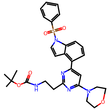 CC(C)(C)OC(=O)NCCc1nc(-c2cccc3c2ccn3S(=O)(=O)c2ccccc2)cc(N2CCOCC2)n1